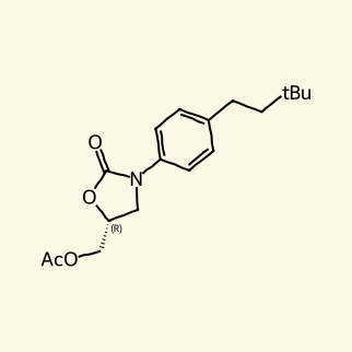 CC(=O)OC[C@H]1CN(c2ccc(CCC(C)(C)C)cc2)C(=O)O1